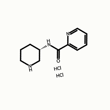 Cl.Cl.O=C(N[C@H]1CCCNC1)c1ccccn1